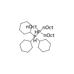 CCCCCCCC[PH](CCCCCCCC)(CCCCCCCC)[PH](C1CCCCC1)(C1CCCCC1)C1CCCCC1